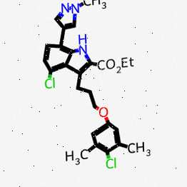 CCOC(=O)c1[nH]c2c(-c3cnn(C)c3)ccc(Cl)c2c1CCCOc1cc(C)c(Cl)c(C)c1